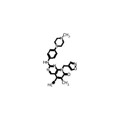 C#Cc1c(C)c(=O)n(Cc2cnoc2)c2nc(Nc3ccc(N4CCN(C)CC4)cc3)ncc12